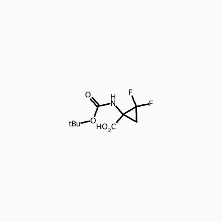 CC(C)(C)OC(=O)NC1(C(=O)O)CC1(F)F